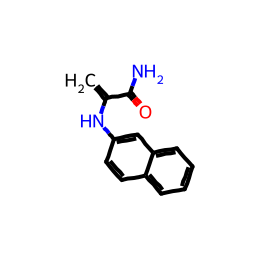 C=C(Nc1ccc2ccccc2c1)C(N)=O